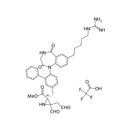 COC(=O)[C@]1(Cc2ccc(N3C(=O)CNC(=O)c4cc(CCCCCNC(=N)N)ccc43)c(-c3ccccc3)c2)NC1(C=O)CC=O.O=C(O)C(F)(F)F